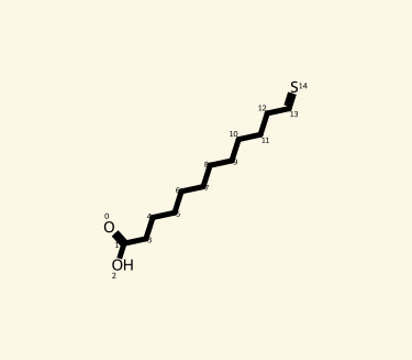 O=C(O)CCCCCCCCCCC=S